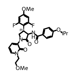 COCCn1cccc(N2C[C@@H](c3c(F)cc(OC)cc3F)C(NC(=O)c3ccc(OC(C)C)cc3)C2=O)c1=O